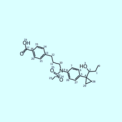 CCC(O)C1(c2ccc(N(CCCc3ccc(C(=O)O)cc3)S(C)(=O)=O)cc2)CC1